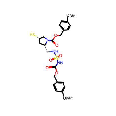 COc1ccc(COC(=O)NS(=O)(=O)NC[C@@H]2C[C@H](S)CN2C(=O)OCc2ccc(OC)cc2)cc1